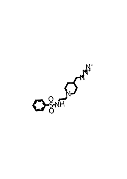 [N-]=[N+]=NCC1CCN(CCNS(=O)(=O)c2ccccc2)CC1